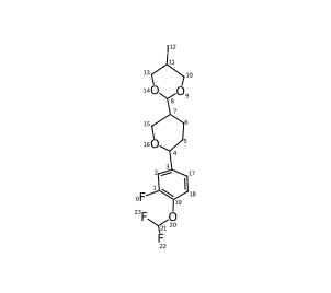 Fc1cc(C2CCC(C3OCC(I)CO3)CO2)ccc1OC(F)F